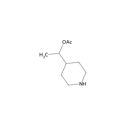 CC(=O)OC(C)C1CCNCC1